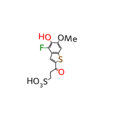 COc1cc2sc(C(=O)CCS(=O)(=O)O)cc2c(F)c1O